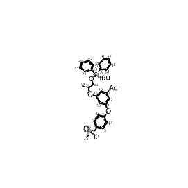 CC(=O)c1cc(Oc2ccc(S(C)(=O)=O)cc2)cc(O[C@@H](C)CO[Si](c2ccccc2)(c2ccccc2)C(C)(C)C)c1